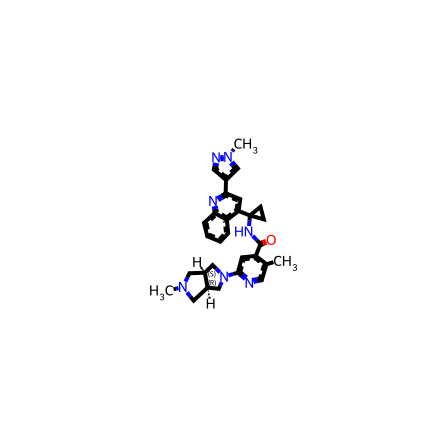 Cc1cnc(N2C[C@H]3CN(C)C[C@H]3C2)cc1C(=O)NC1(c2cc(-c3cnn(C)c3)nc3ccccc23)CC1